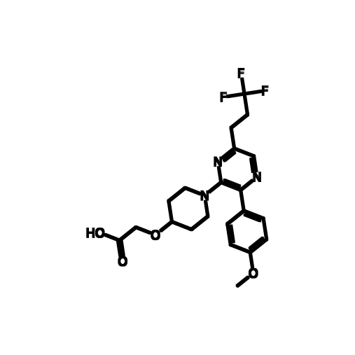 COc1ccc(-c2ncc(CCC(F)(F)F)nc2N2CCC(OCC(=O)O)CC2)cc1